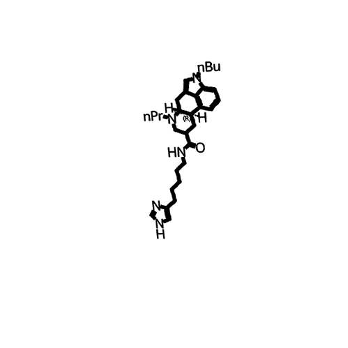 CCCCn1cc2c3c(cccc31)[C@H]1CC(C(=O)NCCCCCc3c[nH]cn3)CN(CCC)[C@@H]1C2